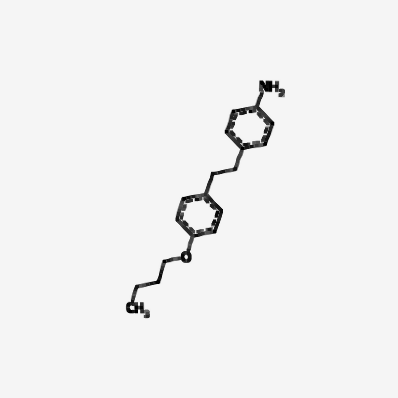 CCCCOc1ccc(CCc2ccc(N)cc2)cc1